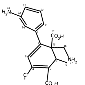 CC1C(C(=O)O)=C(Cl)C=C(c2cccc(N)c2)C1(CN)C(=O)O